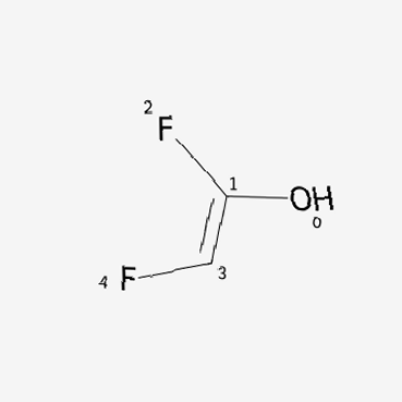 OC(F)=CF